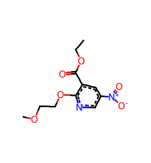 CCOC(=O)c1cc([N+](=O)[O-])cnc1OCCOC